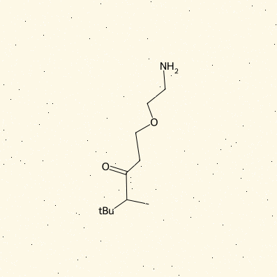 CC(C(=O)CCOCCN)C(C)(C)C